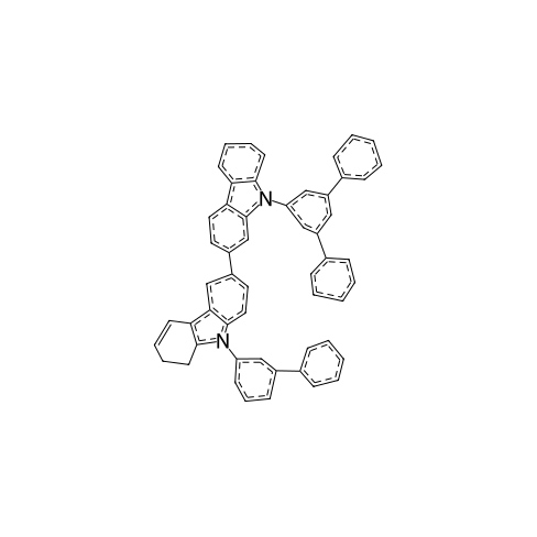 C1=Cc2c(n(-c3cccc(-c4ccccc4)c3)c3ccc(-c4ccc5c6ccccc6n(-c6cc(-c7ccccc7)cc(-c7ccccc7)c6)c5c4)cc23)CC1